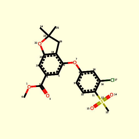 COC(=O)c1cc(Oc2ccc(S(C)(=O)=O)c(Cl)c2)c2c(c1)OC(C)(C)C2